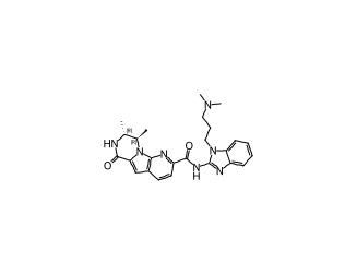 C[C@@H]1[C@@H](C)NC(=O)c2cc3ccc(C(=O)Nc4nc5ccccc5n4CCCN(C)C)nc3n21